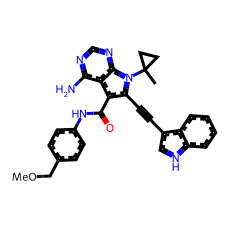 COCc1ccc(NC(=O)c2c(C#Cc3c[nH]c4ccccc34)n(C3(C)CC3)c3ncnc(N)c23)cc1